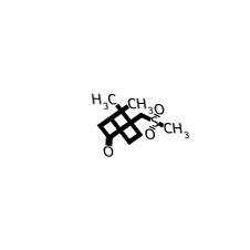 CC1(C)C2CC(=O)C23CCC13CS(C)(=O)=O